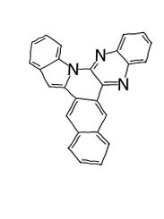 c1ccc2cc3c(cc2c1)c1nc2ccccc2nc1n1c2ccccc2cc31